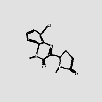 CN1C(=O)CCC1c1nc2c(Cl)cccc2n(C)c1=O